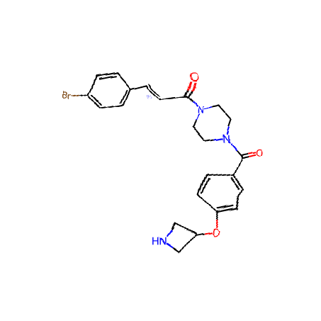 O=C(/C=C/c1ccc(Br)cc1)N1CCN(C(=O)c2ccc(OC3CNC3)cc2)CC1